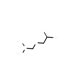 CC(C)COC[SiH](C)C